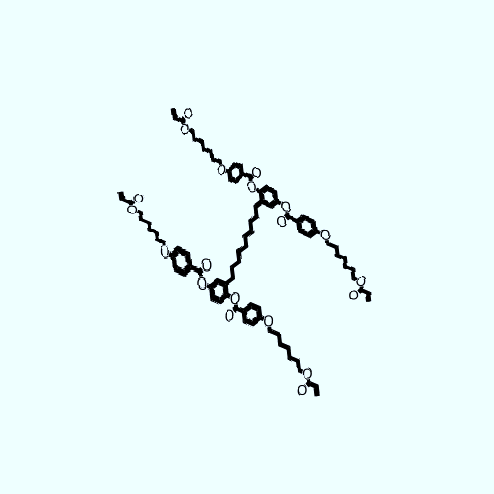 C=CC(=O)OCCCCCCCOc1ccc(C(=O)Oc2ccc(OC(=O)c3ccc(OCCCCCCCOC(=O)C=C)cc3)c(CCCCCCCCCCc3cc(OC(=O)c4ccc(OCCCCCCCOC(=O)C=C)cc4)ccc3OC(=O)c3ccc(OCCCCCCCOC(=O)C=C)cc3)c2)cc1